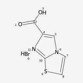 Br.O=C(O)c1cn2ccsc2n1